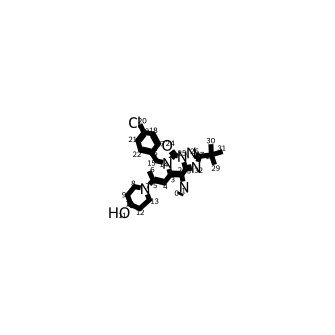 C=Nc1c(/C=C(\C)N2CCC(O)CC2)n(Cc2ccc(Cl)cc2)c(=O)n2nc(C(C)(C)C)nc12